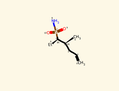 C=CC[C@H](C)[C@@H](CC)S(N)(=O)=O